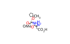 COC(=O)[C@H](COC1(C)CCCC1)NC(=O)[C@@H](N)CC(=O)O